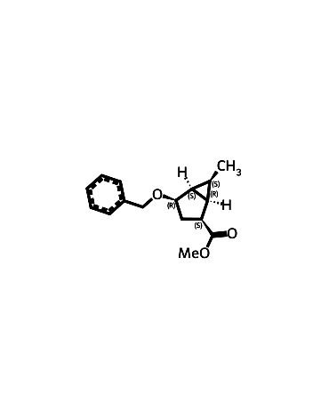 COC(=O)[C@H]1C[C@@H](OCc2ccccc2)[C@H]2[C@@H](C)[C@H]21